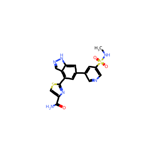 CNS(=O)(=O)c1cncc(-c2cc(-c3nc(C(N)=O)cs3)c3cn[nH]c3c2)c1